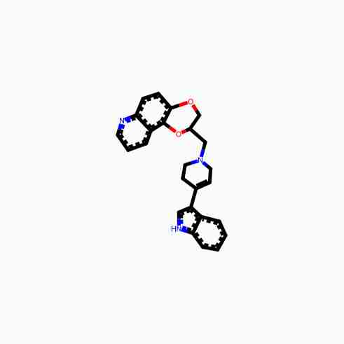 C1=C(c2c[nH]c3ccccc23)CCN(CC2COc3ccc4ncccc4c3O2)C1